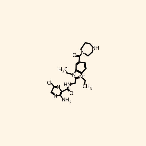 CCn1c(CNC(=O)c2nc(Cl)cnc2N)[n+](CC)c2ccc(C(=O)N3CCCNCC3)cc21